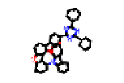 C1=CCC(c2nc(-c3ccccc3)nc(-c3ccc4c(c3)oc3c4ccc4oc5cccc(-n6c7ccccc7c7ccccc76)c5c43)n2)C=C1